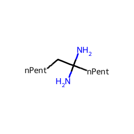 CCCCCCC(N)(N)CCCCC